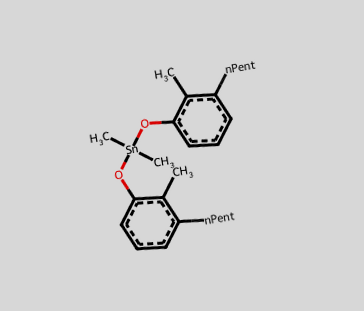 CCCCCc1cccc([O][Sn]([CH3])([CH3])[O]c2cccc(CCCCC)c2C)c1C